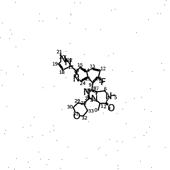 CC1C(=O)N(C)Cc2c(-c3c(F)ccc4cc(-c5ccn(C)n5)ncc34)nc(C3CCOCC3)n21